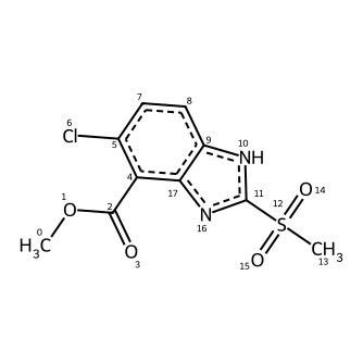 COC(=O)c1c(Cl)ccc2[nH]c(S(C)(=O)=O)nc12